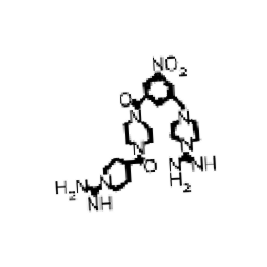 N=C(N)N1CCC(C(=O)N2CCN(C(=O)c3cc(CN4CCN(C(=N)N)CC4)cc([N+](=O)[O-])c3)CC2)CC1